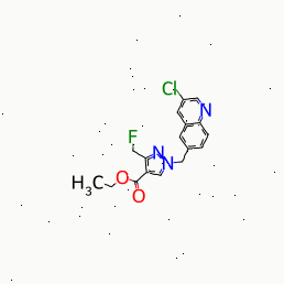 CCOC(=O)c1cn(Cc2ccc3ncc(Cl)cc3c2)nc1CF